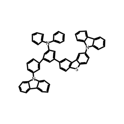 c1ccc(N(c2ccccc2)c2cc(-c3cccc(-n4c5ccccc5c5ccccc54)c3)cc(-c3ccc4sc5ccc(-n6c7ccccc7c7ccccc76)cc5c4c3)c2)cc1